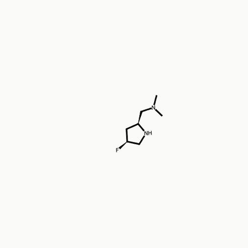 CN(C)C[C@@H]1C[C@H](F)CN1